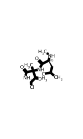 CN[C@@H](CC(C)C)C(=O)NC(C)(C(N)=O)C(=O)CCl